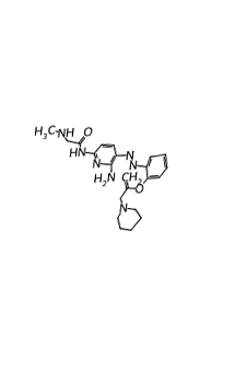 C=C(CN1CCCCC1)Oc1ccccc1/N=N/c1ccc(NC(=O)CNC)nc1N